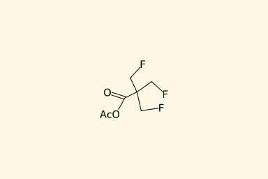 CC(=O)OC(=O)C(CF)(CF)CF